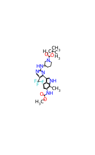 COC(=O)Nc1ccc2c(-c3nc(N[C@H]4CCCN(C(=O)OC(C)(C)C)C4)ncc3C(F)(F)F)c[nH]c2c1C